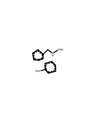 CONCc1ccccc1.O=Cc1ccccc1